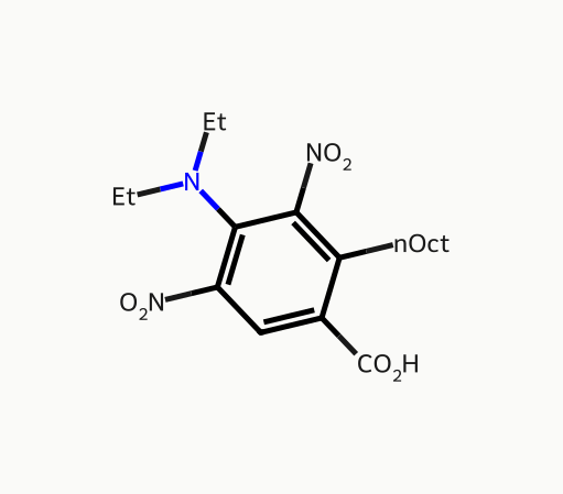 CCCCCCCCc1c(C(=O)O)cc([N+](=O)[O-])c(N(CC)CC)c1[N+](=O)[O-]